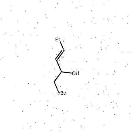 CC/C=C/C(O)CCCCC